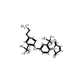 CCCc1ccc(Oc2ccc(N3C(=O)C=CC3=O)c(C(F)(F)F)c2)c(C(F)(F)F)c1